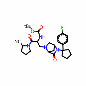 CC(C)(C)OC(=O)NC(CN1CC2CC1C(=O)N2C1(c2ccc(F)cc2)CCCC1)C(=O)N1CCCC1C#N